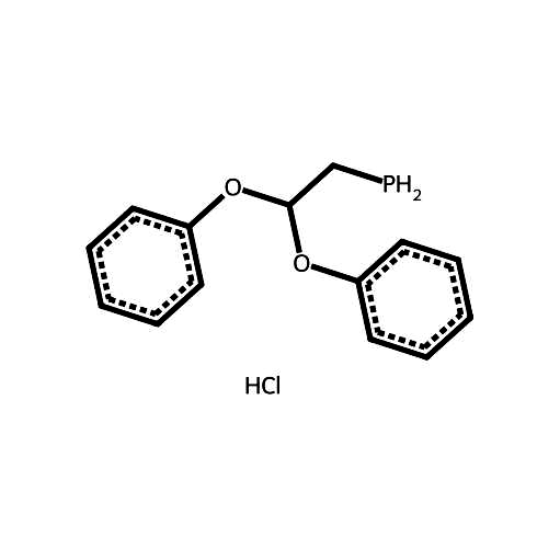 Cl.PCC(Oc1ccccc1)Oc1ccccc1